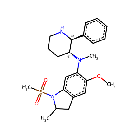 COc1cc2c(cc1N(C)[C@H]1CCCN[C@H]1c1ccccc1)N(S(C)(=O)=O)C(C)C2